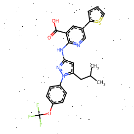 CC(C)Cc1cc(Nc2ncc(-c3cccs3)cc2C(=O)O)nn1-c1ccc(OC(F)(F)F)cc1